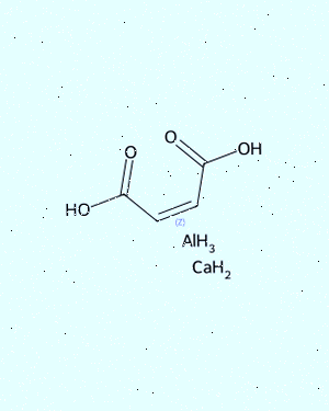 O=C(O)/C=C\C(=O)O.[AlH3].[CaH2]